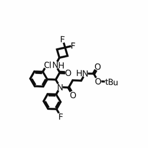 CC(C)(C)OC(=O)NCCC(=O)N(c1cccc(F)c1)C(C(=O)NC1CC(F)(F)C1)c1ccccc1Cl